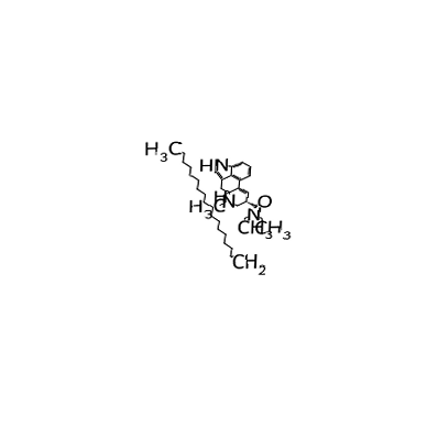 C=CCCCCCCCCCCCCCCCC.CCN(CC)C(=O)[C@@H]1C=C2c3cccc4[nH]cc(c34)C[C@H]2N(C)C1